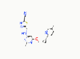 Cc1ccc(C2C[C@@H]2COc2cc(NCc3nnc(C#N)s3)nc(C)n2)nc1